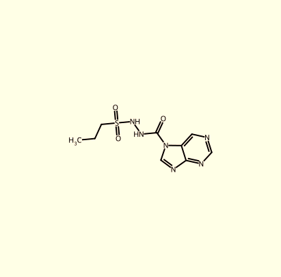 CCCS(=O)(=O)NNC(=O)n1cnc2ncncc21